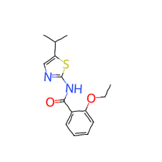 CCOc1ccccc1C(=O)Nc1ncc(C(C)C)s1